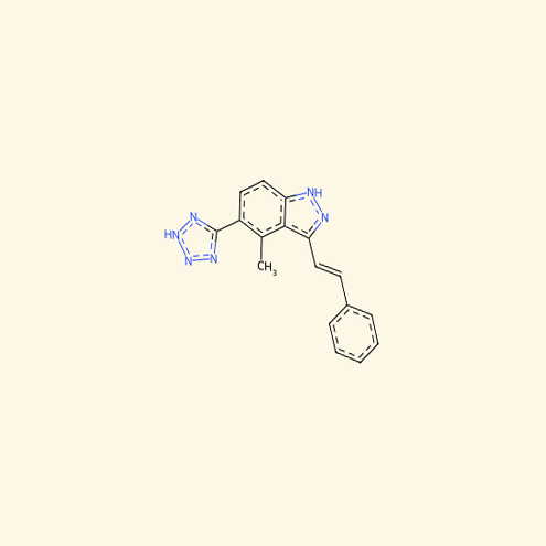 Cc1c(-c2nn[nH]n2)ccc2[nH]nc(C=Cc3ccccc3)c12